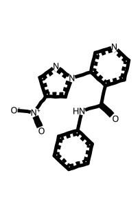 O=C(Nc1ccccc1)c1ccncc1-n1cc([N+](=O)[O-])cn1